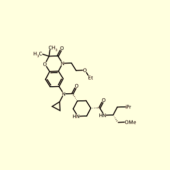 CCOCCN1C(=O)C(C)(C)Oc2ccc(N(C(=O)[C@H]3CNC[C@@H](C(=O)N[C@@H](COC)CC(C)C)C3)C3CC3)cc21